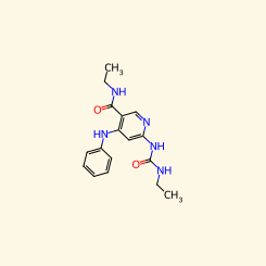 CCNC(=O)Nc1cc(Nc2ccccc2)c(C(=O)NCC)cn1